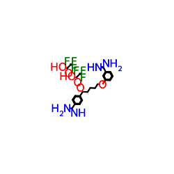 N=C(N)c1ccc(C(=O)CCCCOc2cccc(C(=N)N)c2)cc1.O=C(O)C(F)(F)F.O=C(O)C(F)(F)F